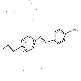 CC=Cc1ccc(N=Nc2ccc(NC)cc2)cc1